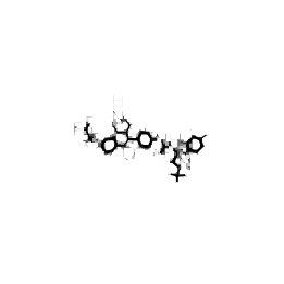 Cc1ccc(-n2nc(C(C)(C)C)cc2NC(=O)Nc2ccc(C(C(=O)c3ccc(OC(F)(F)C(F)F)cc3)C3CCNCC3)cc2)cc1